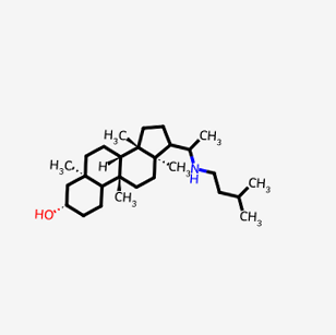 CC(C)CCNC(C)C1CC[C@@]2(C)[C@H]3CC[C@]4(C)C[C@@H](O)CCC4[C@@]3(C)CC[C@]12C